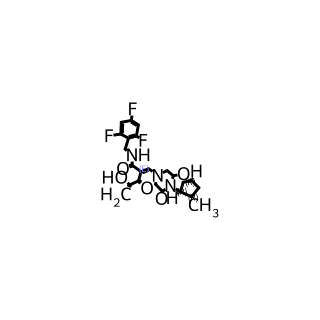 C=C(O)C(=O)/C(=C\N1CC(=O)N2C(C1)O[C@@H]1C[C@@H](C)[C@H]2C1)C(=O)NCc1c(F)cc(F)cc1F